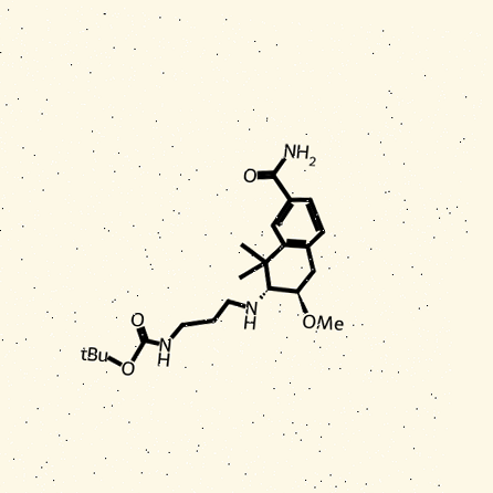 CO[C@@H]1Cc2ccc(C(N)=O)cc2C(C)(C)[C@H]1NCCCNC(=O)OC(C)(C)C